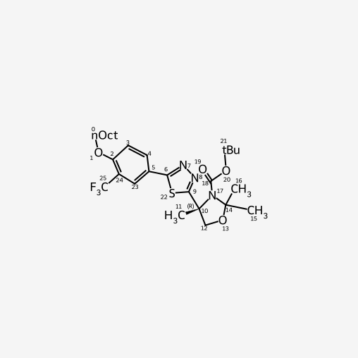 CCCCCCCCOc1ccc(-c2nnc([C@@]3(C)COC(C)(C)N3C(=O)OC(C)(C)C)s2)cc1C(F)(F)F